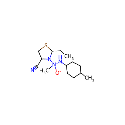 CCC1SCC(C#N)N1[N+](C)([O-])NC1CCC(C)CC1